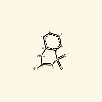 CCCCC1=NS(=O)(=O)c2cnccc2N1